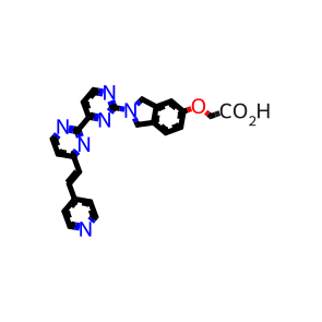 O=C(O)COc1ccc2c(c1)CN(c1nccc(-c3nccc(C=Cc4ccncc4)n3)n1)C2